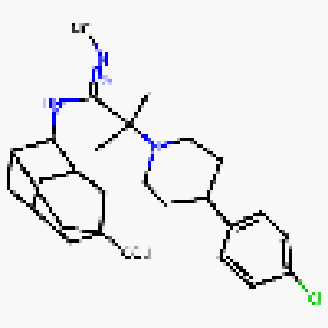 CC(C)(/C(=N/C#N)NC1C2CC3CC1CC(C(=O)O)(C3)C2)N1CCC(c2ccc(Cl)cc2)CC1